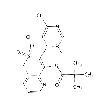 CC(C)(C)C(=O)OC1=C(c2c(Cl)cnc(Cl)c2Cl)S(=O)(=O)Cc2cccnc21